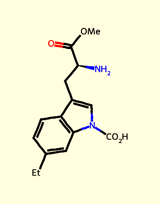 CCc1ccc2c(C[C@H](N)C(=O)OC)cn(C(=O)O)c2c1